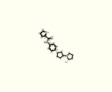 C[C@H]1CCCN1C1CC[C@H](c2ccc(NC(=O)c3cccs3)cc2)C1